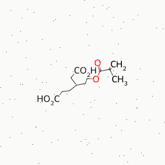 C=C(C)C(=O)OCCC(CCC(=O)O)CC(=O)O